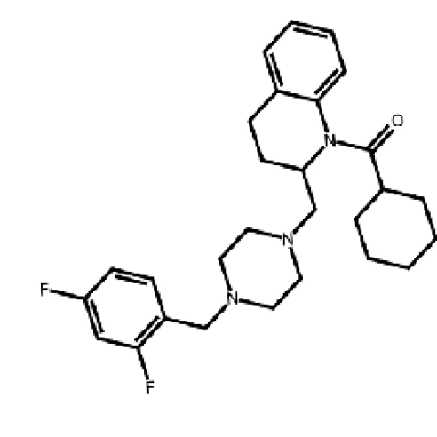 O=C(C1CCCCC1)N1c2ccccc2CCC1CN1CCN(Cc2ccc(F)cc2F)CC1